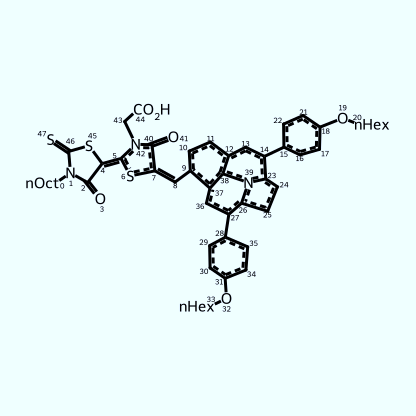 CCCCCCCCN1C(=O)/C(=c2\s/c(=C/c3ccc4cc(-c5ccc(OCCCCCC)cc5)c5ccc6c(-c7ccc(OCCCCCC)cc7)cc3c4n56)c(=O)n2CC(=O)O)SC1=S